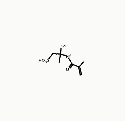 C=C(C)C(=O)NC(C)(CCC)CS(=O)(=O)O